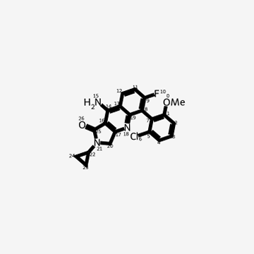 COc1cccc(Cl)c1-c1c(F)ccc2c(N)c3c(nc12)CN(C1CC1)C3=O